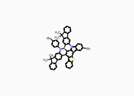 CC(C)(C)c1ccc(N2B3c4cc5c(cc4-n4c6ccc(C(C)(C)C)cc6c6c7sc8ccccc8c7c(c3c64)-c3cc4c(cc32)C(C)(C)c2ccccc2-4)-c2ccccc2C5(C)C)cc1